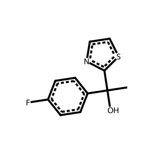 CC(O)(c1ccc(F)cc1)c1nccs1